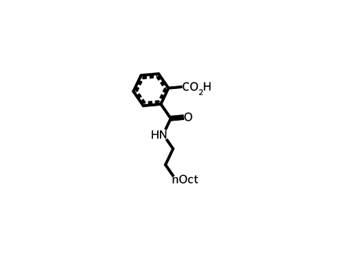 CCCCCCCCCCNC(=O)c1ccccc1C(=O)O